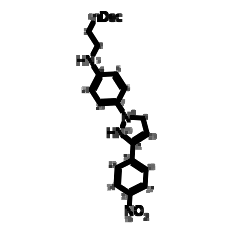 CCCCCCCCCCCCNc1ccc(N2CC=C(c3ccc([N+](=O)[O-])cc3)N2)cc1